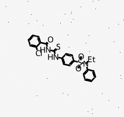 CCN(c1ccccc1)S(=O)(=O)c1ccc(NC(=S)NC(=O)c2ccccc2Cl)cc1